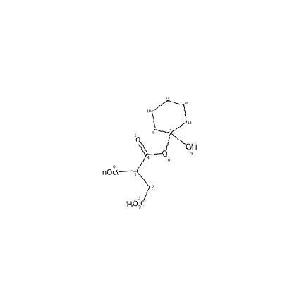 CCCCCCCCC(CC(=O)O)C(=O)OC1(O)CCCCC1